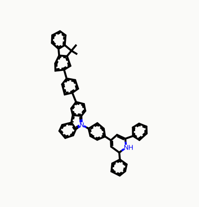 CC1(C)c2ccccc2-c2ccc(-c3ccc(-c4ccc5c(c4)c4ccccc4n5-c4ccc(C5=CC(c6ccccc6)NC(c6ccccc6)=C5)cc4)cc3)cc21